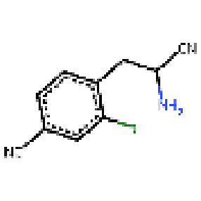 N#Cc1ccc(CC(N)C#N)c(Cl)c1